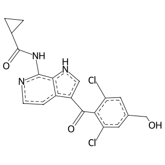 O=C(c1c(Cl)cc(CO)cc1Cl)c1c[nH]c2c(NC(=O)C3CC3)nccc12